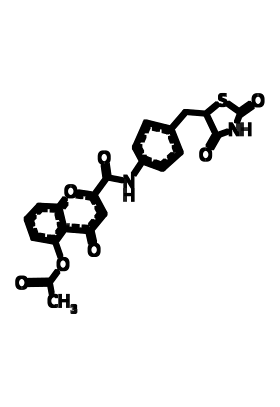 CC(=O)Oc1cccc2oc(C(=O)Nc3ccc(CC4SC(=O)NC4=O)cc3)cc(=O)c12